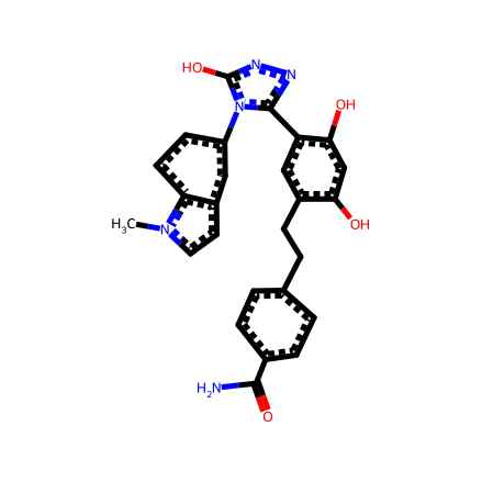 Cn1ccc2cc(-n3c(O)nnc3-c3cc(CCc4ccc(C(N)=O)cc4)c(O)cc3O)ccc21